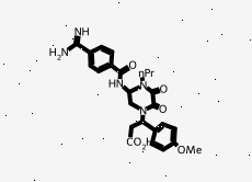 CCCN1C(=O)C(=O)N(C(CC(=O)O)c2ccc(OC)cc2)CC1NC(=O)c1ccc(C(=N)N)cc1